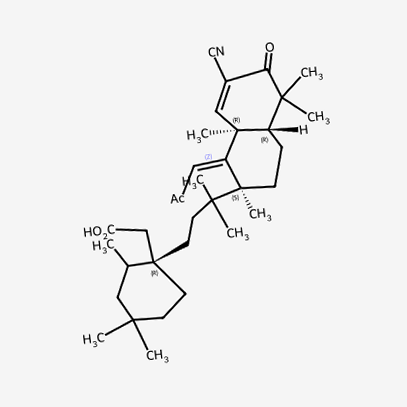 CC(=O)/C=C1/[C@@]2(C)C=C(C#N)C(=O)C(C)(C)[C@@H]2CC[C@@]1(C)C(C)(C)CC[C@@]1(CC(=O)O)CCC(C)(C)CC1C